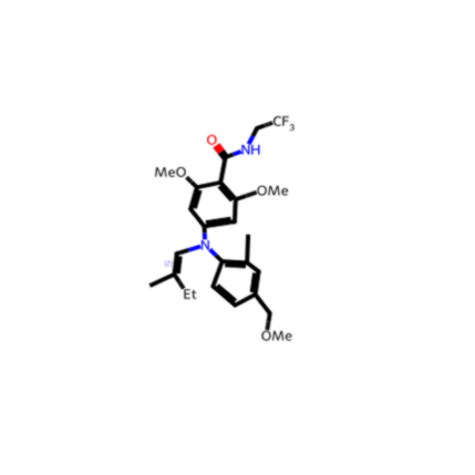 CC/C(C)=C\N(c1cc(OC)c(C(=O)NCC(F)(F)F)c(OC)c1)c1ccc(COC)cc1C